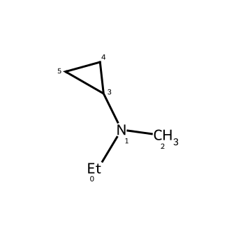 CCN(C)C1CC1